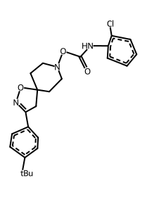 CC(C)(C)c1ccc(C2=NOC3(CCN(OC(=O)Nc4ccccc4Cl)CC3)C2)cc1